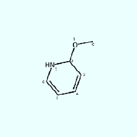 COC1C=CC=CN1